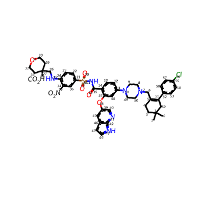 CC1(C)CCC(CN2CCN(c3ccc(C(=O)NS(=O)(=O)c4ccc(NCC5(C(=O)O)CCOCC5)c([N+](=O)[O-])c4)c(Oc4cnc5[nH]ccc5c4)c3)CC2)=C(c2ccc(Cl)cc2)C1